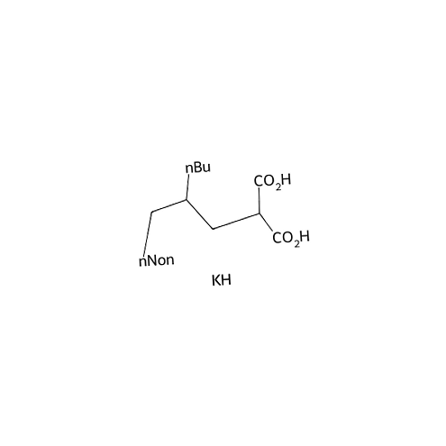 CCCCCCCCCCC(CCCC)CC(C(=O)O)C(=O)O.[KH]